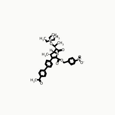 CC[Si](CC)(CC)OC(C)[C@H]1C(=O)N2C(C(=O)OCc3ccc([N+](=O)[O-])cc3)=C(c3ccc(-c4ccc(C(C)=O)cc4)cc3)[C@H](C)[C@H]12